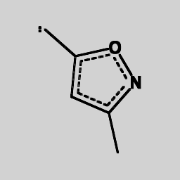 [CH]c1cc(C)no1